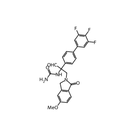 COc1ccc2c(c1)CN(CC(C=O)(NC(N)=O)c1ccc(-c3cc(F)c(F)c(F)c3)cc1)C2=O